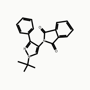 CC(C)(C)n1cc(N2C(=O)c3ccccc3C2=O)c(-c2ccccc2)n1